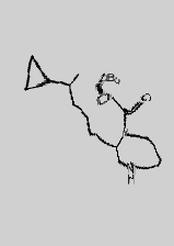 CC(CCCC1CNCCN1C(=O)OC(C)(C)C)C1CC1